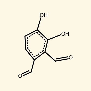 O=[C]c1ccc(O)c(O)c1[C]=O